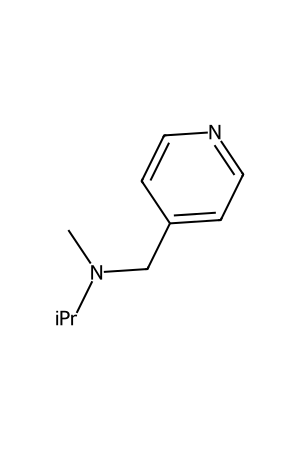 CC(C)N(C)Cc1ccncc1